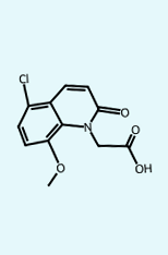 COc1ccc(Cl)c2ccc(=O)n(CC(=O)O)c12